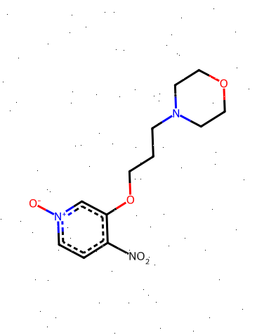 O=[N+]([O-])c1cc[n+]([O-])cc1OCCCN1CCOCC1